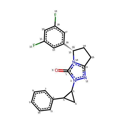 O=c1n(C2CC2c2ccccc2)nc2n1[C@H](c1cc(F)cc(F)c1)CC2